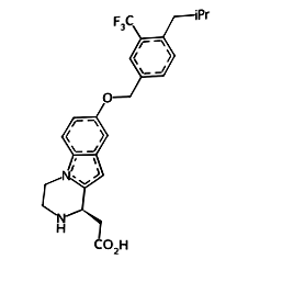 CC(C)Cc1ccc(COc2ccc3c(c2)cc2n3CCN[C@@H]2CC(=O)O)cc1C(F)(F)F